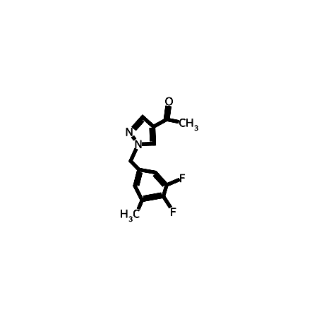 CC(=O)c1cnn(Cc2cc(C)c(F)c(F)c2)c1